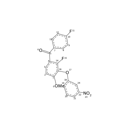 COc1ccc(C(=O)c2ccc(F)cc2)c(F)c1Oc1cccc([N+](=O)[O-])c1